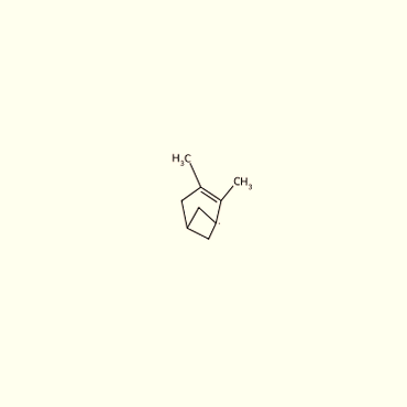 CC1=C(C)[C]2CC(C2)C1